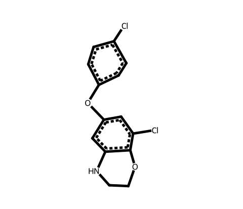 Clc1ccc(Oc2cc(Cl)c3c(c2)NCCO3)cc1